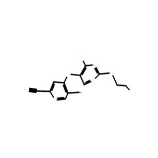 C#Cc1cc(Oc2cnc(NCCO)nc2N)c(C(C)C)cn1